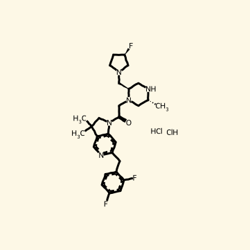 C[C@@H]1CN(CC(=O)N2CC(C)(C)c3cnc(Cc4ccc(F)cc4F)cc32)[C@@H](CN2CC[C@@H](F)C2)CN1.Cl.Cl